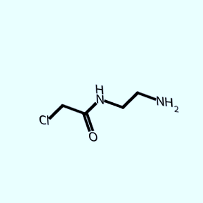 NCCNC(=O)CCl